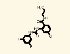 CCCNC(=O)c1ccc(Cl)cc1NC(=O)Nc1cc(F)cc(F)c1